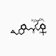 CN(C)CCN(Cc1ccccc1C(F)(F)F)C(=O)CCc1cccc2c1CCN(CC1CC1)C2